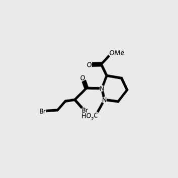 COC(=O)C1CCCN(C(=O)O)N1C(=O)C(Br)CCBr